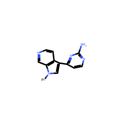 CC(C)n1cc(-c2ccnc(N)n2)c2ccncc21